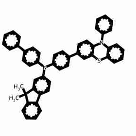 CC1(C)c2ccccc2-c2ccc(N(c3ccc(-c4ccccc4)cc3)c3ccc(-c4ccc5c(c4)Sc4ccccc4N5c4ccccc4)cc3)cc21